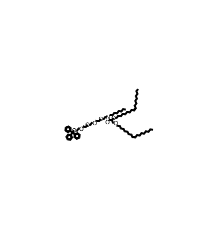 CCCCCCCC/C=C\CCCCCCCCOCC(OCCCCCCCC/C=C\CCCCCCCC)C(=O)N(CCCCCCCC)CCOCCOCCOCCOCCOC(c1ccccc1)(c1ccccc1)c1ccccc1